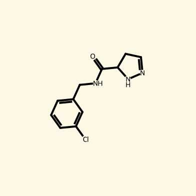 O=C(NCc1cccc(Cl)c1)C1CC=NN1